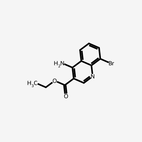 CCOC(=O)c1cnc2c(Br)cccc2c1N